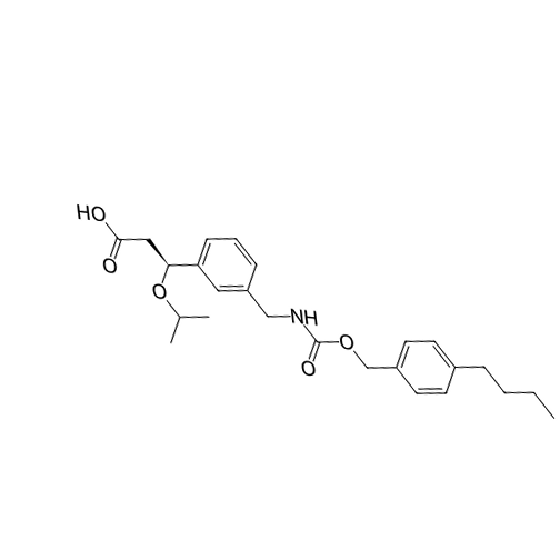 CCCCc1ccc(COC(=O)NCc2cccc([C@H](CC(=O)O)OC(C)C)c2)cc1